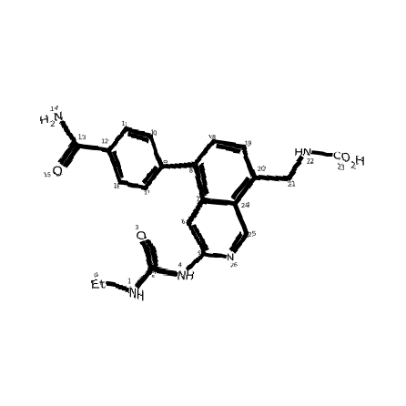 CCNC(=O)Nc1cc2c(-c3ccc(C(N)=O)cc3)ccc(CNC(=O)O)c2cn1